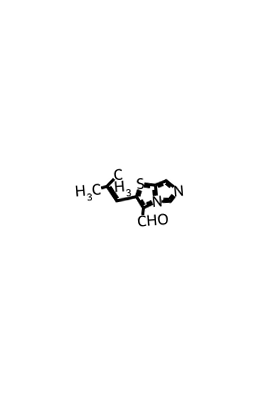 CC(C)=Cc1sc2cncn2c1C=O